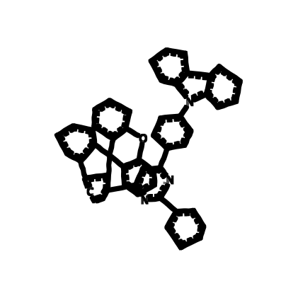 c1ccc(-c2nc(-c3ccc(-n4c5ccccc5c5ccccc54)cc3)cc(-c3cccc4c3C3(c5ccccc5Oc5ccccc53)c3ccccc3-4)n2)cc1